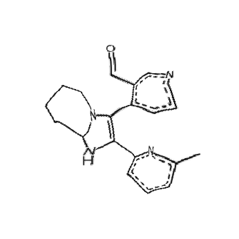 Cc1cccc(C2=C(c3ccncc3C=O)N3CCCCC3N2)n1